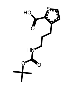 CC(C)(C)OC(=O)NCCCc1ccsc1C(=O)O